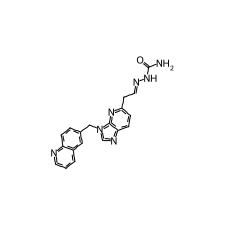 NC(=O)NN=CCc1ccc2ncn(Cc3ccc4ncccc4c3)c2n1